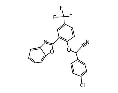 N#CC(Oc1ccc(C(F)(F)F)cc1-c1nc2ccccc2o1)c1ccc(Cl)cc1